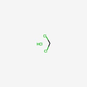 Cl.ClCCl